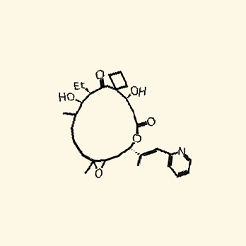 CC[C@H]1C(=O)C2(CCC2)[C@@H](O)CC(=O)O[C@H](C(C)=Cc2ccccn2)CC2OC2(C)CCCC(C)[C@H]1O